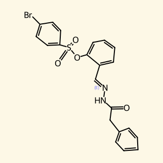 O=C(Cc1ccccc1)N/N=C/c1ccccc1OS(=O)(=O)c1ccc(Br)cc1